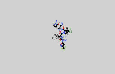 CC(C)(C)[C@H](NC(=O)Nc1cc(C(F)(F)F)no1)C(=O)N1C[C@H]2[C@@H]([C@H]1C(=O)N[C@H](C#N)C[C@@H]1CCNC1=O)C2(Cl)Cl